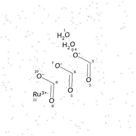 O.O.O=C[O-].O=C[O-].O=C[O-].[Ru+3]